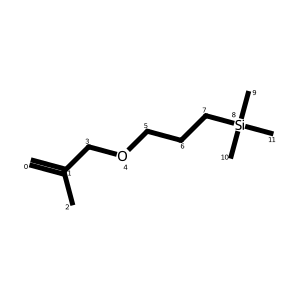 C=C(C)COCCC[Si](C)(C)C